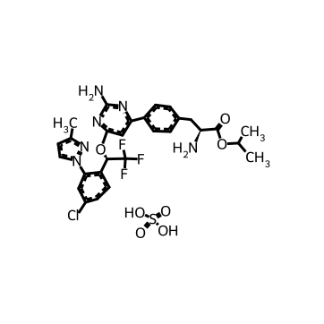 Cc1ccn(-c2cc(Cl)ccc2[C@@H](Oc2cc(-c3ccc(C[C@H](N)C(=O)OC(C)C)cc3)nc(N)n2)C(F)(F)F)n1.O=S(=O)(O)O